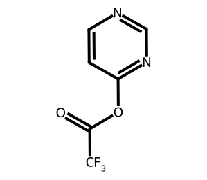 O=C(Oc1ccncn1)C(F)(F)F